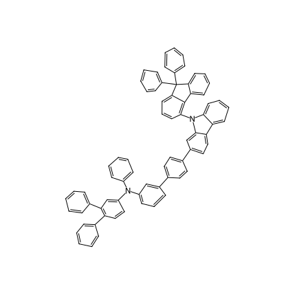 c1ccc(-c2ccc(N(c3ccccc3)c3cccc(-c4ccc(-c5ccc6c7ccccc7n(-c7cccc8c7-c7ccccc7C8(c7ccccc7)c7ccccc7)c6c5)cc4)c3)cc2-c2ccccc2)cc1